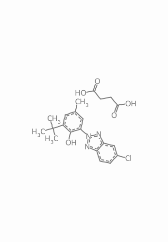 Cc1cc(-n2nc3ccc(Cl)cc3n2)c(O)c(C(C)(C)C)c1.O=C(O)CCC(=O)O